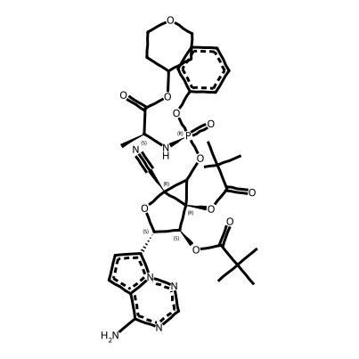 C[C@H](N[P@](=O)(Oc1ccccc1)OC1[C@@]2(C#N)O[C@@H](c3ccc4c(N)ncnn34)[C@H](OC(=O)C(C)(C)C)[C@@]12OC(=O)C(C)(C)C)C(=O)OC1CCOCC1